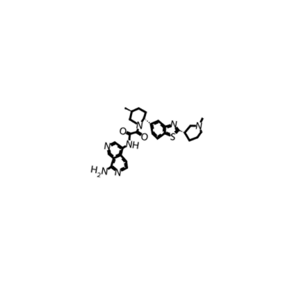 C[C@H]1CC[C@H](c2ccc3sc([C@H]4CCCN(C)C4)nc3c2)N(C(=O)C(=O)Nc2cncc3c(N)nccc23)C1